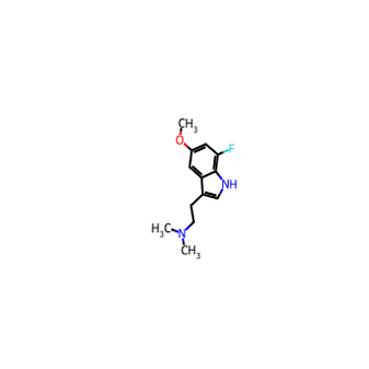 COc1cc(F)c2[nH]cc(CCN(C)C)c2c1